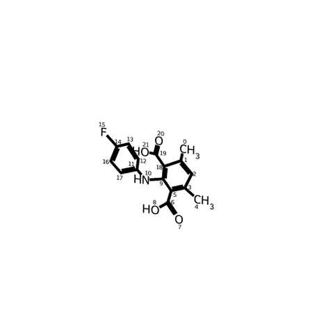 Cc1cc(C)c(C(=O)O)c(Nc2ccc(F)cc2)c1C(=O)O